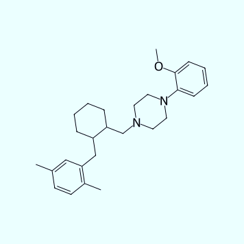 COc1ccccc1N1CCN(CC2CCCCC2Cc2cc(C)ccc2C)CC1